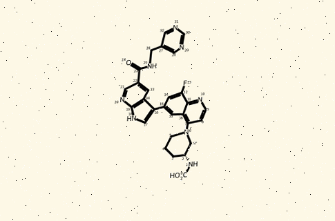 O=C(O)N[C@@H]1CCCN(c2ccnc3c(F)cc(-c4c[nH]c5ncc(C(=O)NCc6cncnc6)cc45)cc23)C1